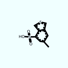 Cc1cc(S(=O)(=O)O)c2cscc2c1